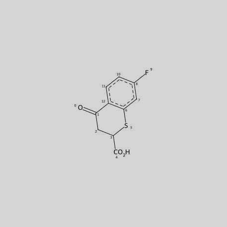 O=C1CC(C(=O)O)Sc2cc(F)ccc21